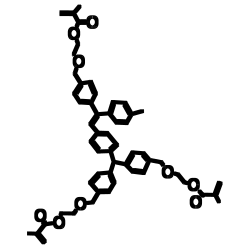 C=C(C)C(=O)OCCOCc1ccc(C(=Cc2ccc(C(c3ccc(COCCOC(=O)C(=C)C)cc3)c3ccc(COCCOC(=O)C(=C)C)cc3)cc2)c2ccc(C)cc2)cc1